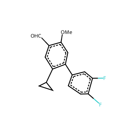 COc1cc(-c2ccc(F)c(F)c2)c(C2CC2)cc1C=O